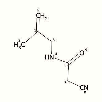 C=C(C)CNC(=O)CC#N